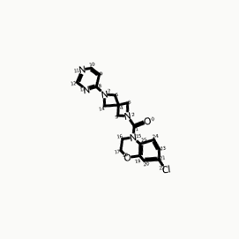 O=C(N1CC2(C1)CN(c1ccncn1)C2)N1CCOc2cc(Cl)ccc21